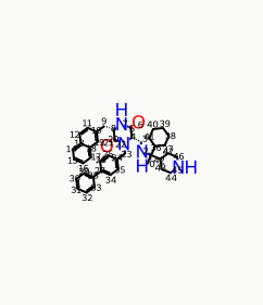 CC(NC[C@H]1C(=O)N[C@@H](Cc2ccc3ccccc3c2)C(=O)N1Cc1ccc(-c2ccccc2)cc1)(C1CCCCC1)C1CCNCC1